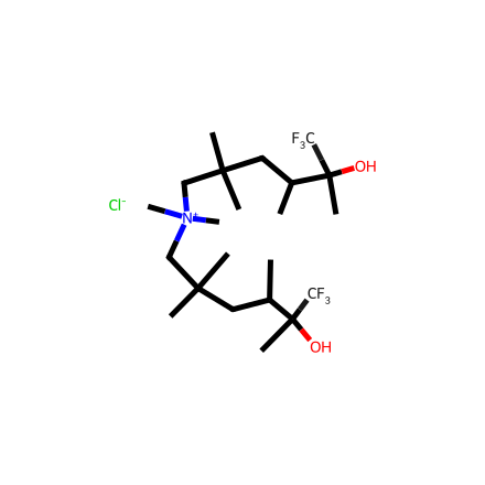 CC(CC(C)(C)C[N+](C)(C)CC(C)(C)CC(C)C(C)(O)C(F)(F)F)C(C)(O)C(F)(F)F.[Cl-]